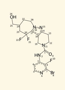 O=C(Nc1ccnc(Br)c1F)N1CCc2nn3c(c2C1)C(F)(F)CC(CO)CC3